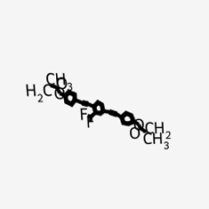 C=C(C)C(=O)Oc1ccc(C#Cc2ccc(C#Cc3ccc(OC(=O)C(=C)C)cc3)c(C(F)F)c2)cc1